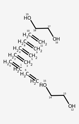 C=C.C=C.C=C.C=C.C=C.C=C.OCCO.OCCO